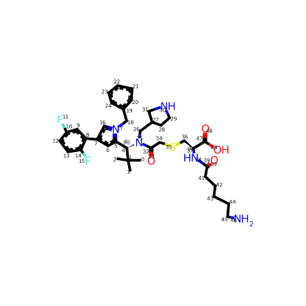 CC(C)(C)[C@H](c1cc(-c2cc(F)ccc2F)cn1Cc1ccccc1)N(CC1CCNC1)C(=O)CSC[C@H](NC(=O)CCCCCN)C(=O)O